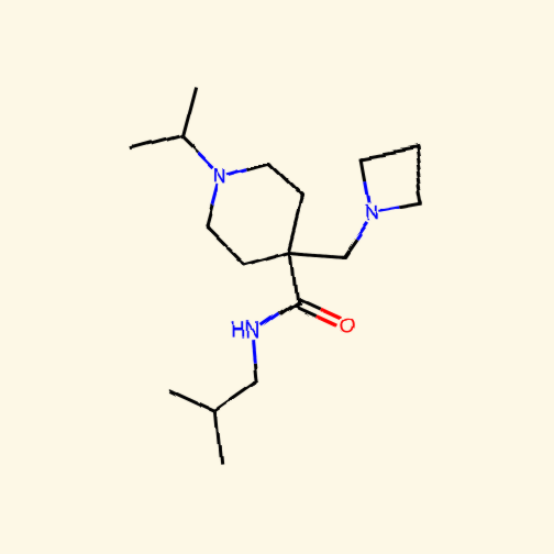 CC(C)CNC(=O)C1(CN2CCC2)CCN(C(C)C)CC1